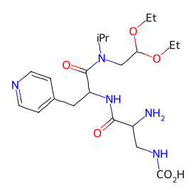 CCOC(CN(C(=O)C(Cc1ccncc1)NC(=O)C(N)CNC(=O)O)C(C)C)OCC